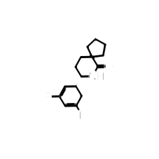 O=C1N[C@H](C2C=C(F)C=C(F)C2)CCC12CCCC2